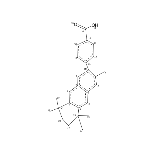 Cc1cc2cc3c(cc2cc1-c1ccc(C(=O)O)cc1)C(C)(C)CCC3(C)C